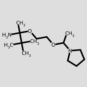 CC(OCCOC(C)(N)C(C)(C)C)N1CCCC1